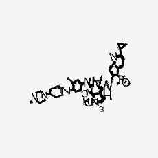 Cc1cc(Nc2nc(Nc3ccc4nc(C5CC5)ccc4c3P(C)(C)=O)c3cc[nH]c3n2)c(OCC(F)(F)F)cc1N1CCC(N2CCN(C)CC2)CC1